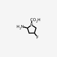 NC1CC(F)CN1C(=O)O